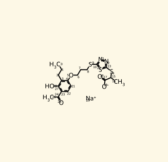 CCCc1c(OCCCSc2nnc(SC(C)C(=O)[O-])s2)ccc(C(C)=O)c1O.[Na+]